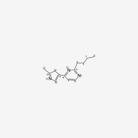 CCCCc1nccc(C2=CN=C(C)C2)n1